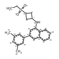 CCS(=O)(=O)N1CC(Nc2cc(-c3cc(C)nc(C)c3)cc3ccncc23)C1